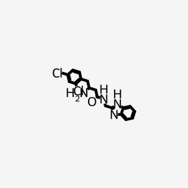 NC(CC(=O)NCc1nc2ccccc2[nH]1)Cc1ccc(Cl)cc1Cl